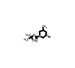 CC1C[C@H](Br)CN(C(=O)OC(C)(C)C)C1